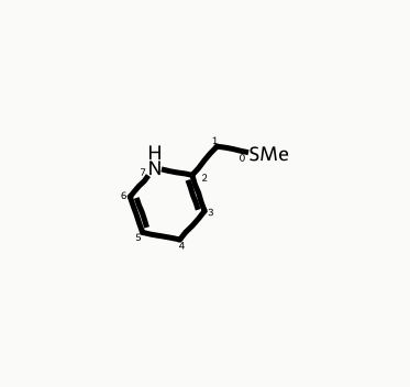 CSCC1=CCC=CN1